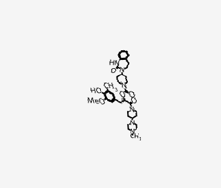 COc1cc(C[C@@H](OC(=O)N2CCC(N3CCc4ccccc4NC3=O)CC2)C(=O)N2CCC(N3CCN(C)CC3)CC2)cc(C)c1O